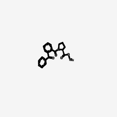 CC(C)(C)OC(=O)[C@@H]1CCCN1C(=O)c1ccccc1C(=O)c1ccccc1